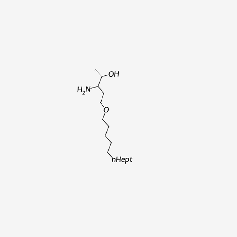 CCCCCCCCCCCCOCCC(N)[C@H](C)O